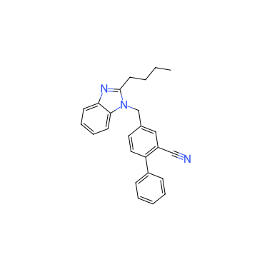 CCCCc1nc2ccccc2n1Cc1ccc(-c2ccccc2)c(C#N)c1